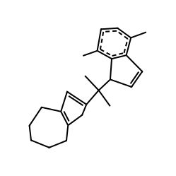 Cc1ccc(C)c2c1C=CC2C(C)(C)C1=CC2=C(CCCCC2)C1